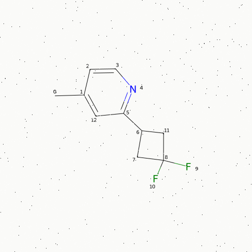 Cc1ccnc(C2CC(F)(F)C2)c1